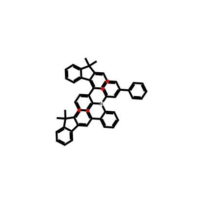 CC1(C)c2ccccc2-c2cc(-c3ccccc3N(c3cccc(-c4ccccc4)c3)c3ccccc3-c3cccc4c3-c3ccccc3C4(C)C)ccc21